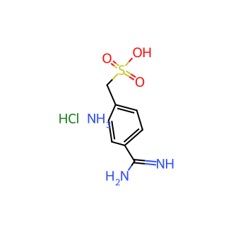 Cl.N.N=C(N)c1ccc(CS(=O)(=O)O)cc1